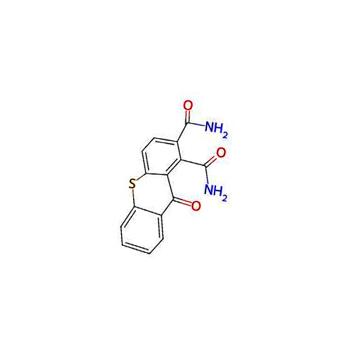 NC(=O)c1ccc2sc3ccccc3c(=O)c2c1C(N)=O